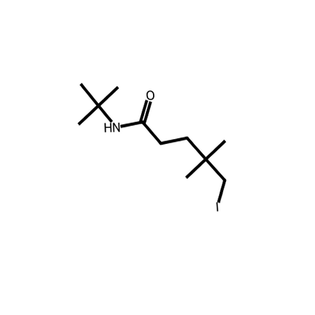 CC(C)(CI)CCC(=O)NC(C)(C)C